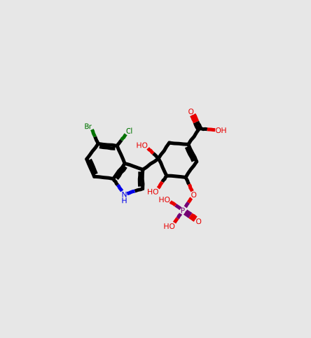 O=C(O)C1=CC(OP(=O)(O)O)C(O)C(O)(c2c[nH]c3ccc(Br)c(Cl)c23)C1